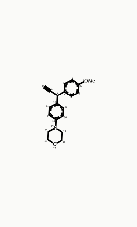 C#CC(c1ccc(OC)cc1)c1ccc(N2CCOCC2)cc1